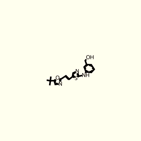 CC(C)(C)c1cnc(C=Cc2cnc(Nc3cccc(CO)c3)s2)o1